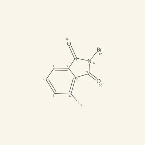 O=C1c2cccc(I)c2C(=O)N1Br